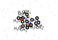 CC(C)c1ccc(S(c2ccc(C(C)C)cc2)(c2cc3c4c(c2)N(c2cccc5c2oc2ccccc25)c2cc(N(c5ccc(C(C)(C)C)cc5)c5ccccc5-c5ccccc5)ccc2B4c2sc4ccc(C(C)(C)C)cc4c2N3c2ccc3c(c2)oc2ccccc23)C(C)(C)C)cc1